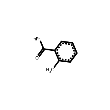 CC[CH]C(=O)c1ccccc1C